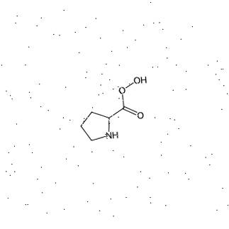 O=C(OO)C1CCCN1